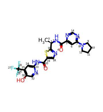 C[C@@H](NC(=O)c1cc(N2CCCC2)ncn1)c1ncc(C(=O)Nc2cc(C(F)(F)F)c(O)cn2)s1